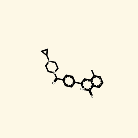 Cc1cccc2c(=O)[nH]c(-c3ccc(C(=O)N4CCN(C5CC5)CC4)cc3)cc12